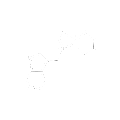 [CH](n1cnc2ccccc21)n1cnc2ccccc21